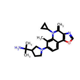 C=C1c2ncoc2-c2ccc(N3CCC(C(C)(C)N)C3)c(C)c2N1C1CC1